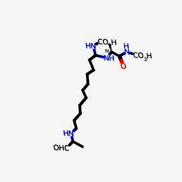 CC(C=O)NCCCCCCCCCCC(NC(=O)O)N[C@@H](C)C(=O)NC(=O)O